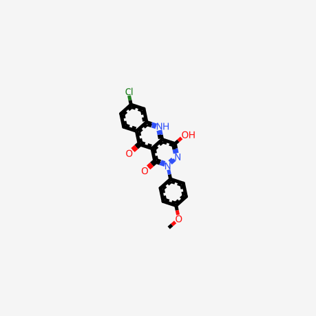 COc1ccc(-n2nc(O)c3[nH]c4cc(Cl)ccc4c(=O)c3c2=O)cc1